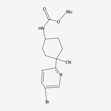 CC(C)(C)OC(=O)NC1CCC(C#N)(c2ccc(Br)cn2)CC1